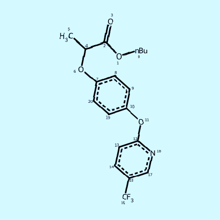 CCCCOC(=O)C(C)Oc1ccc(Oc2ccc(C(F)(F)F)cn2)cc1